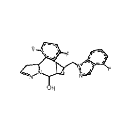 OC(N1N=CCC1c1cc(F)ccc1F)C12CC(Cn3ncc4c(F)cccc43)(C1)C2